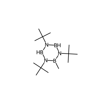 CB1N(C(C)(C)C)BN(C(C)(C)C)BN1C(C)(C)C